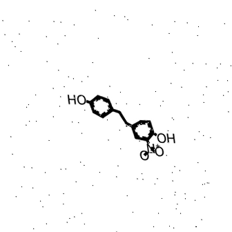 O=[N+]([O-])c1cc([CH]Cc2ccc(O)cc2)ccc1O